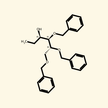 CC[C@@H](O)[C@@H](OCc1ccccc1)[C@@H](COCc1ccccc1)OCc1ccccc1